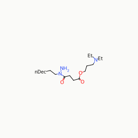 CCCCCCCCCCCCN(N)C(=O)CCC(=O)OCCCN(CC)CC